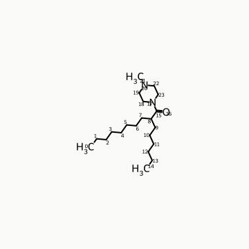 CCCCCCCCC(CCCCCC)C(=O)N1CCN(C)CC1